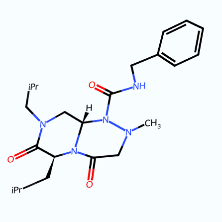 CC(C)C[C@H]1C(=O)N(CC(C)C)C[C@H]2N1C(=O)CN(C)N2C(=O)NCc1ccccc1